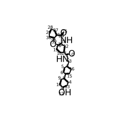 O=C(NCc1ccc(-c2ccc(O)cc2)cc1)c1ccc2c(c1)NC(=O)c1ccccc1O2